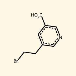 O=C(O)c1cncc(CCBr)c1